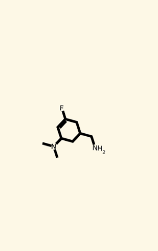 CN(C)C1C=C(F)CC(CN)C1